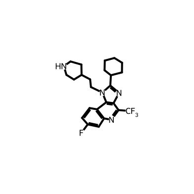 Fc1ccc2c(c1)nc(C(F)(F)F)c1nc(C3CCCCC3)n(CCC3CCNCC3)c12